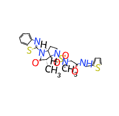 C[C@@H]1C(=O)N(c2nc3ccccc3s2)[C@H]2CCN(S(=O)(=O)N(C)CC(=O)NCc3cccs3)[C@H]12